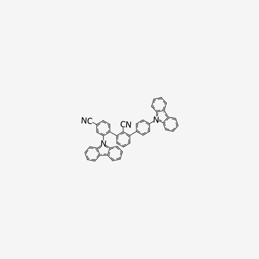 N#Cc1ccc(-c2cccc(-c3ccc(-n4c5ccccc5c5ccccc54)cc3)c2C#N)c(-n2c3ccccc3c3ccccc32)c1